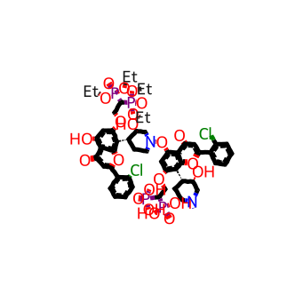 CCOP(=O)(OCC)C(COc1cc(O)c2c(=O)cc(-c3ccccc3Cl)oc2c1[C@H]1CCN(Oc2cc(OCC(P(=O)(O)O)P(=O)(O)O)c([C@H]3CCN(C)C[C@H]3O)c3oc(-c4ccccc4Cl)cc(=O)c23)C[C@H]1O)P(=O)(OCC)OCC